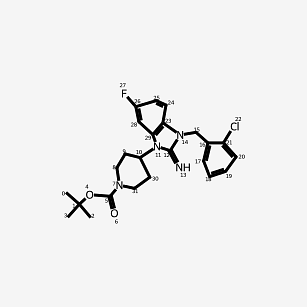 CC(C)(C)OC(=O)N1CCC(n2c(=N)n(Cc3ccccc3Cl)c3ccc(F)cc32)CC1